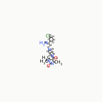 Cc1nc(=O)n(C)c(C)c1C(=O)N1CC2CN(CC[C@H](N)c3cccc(Cl)c3)CC2C1